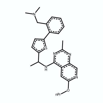 CCCOc1cc2c(NC(C)c3ccc(-c4ccccc4CN(C)C)s3)nc(C)nc2cn1